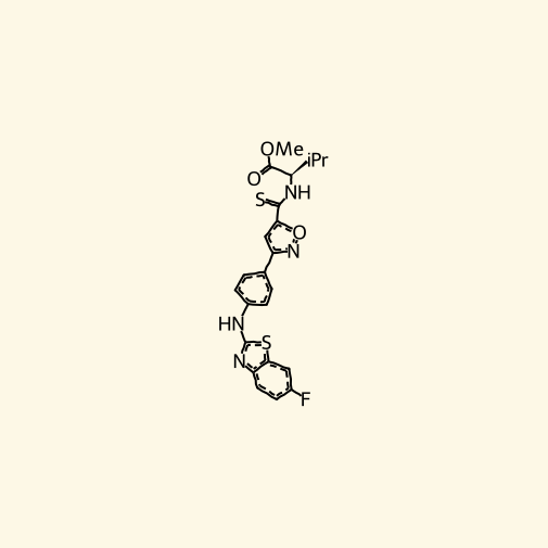 COC(=O)[C@H](NC(=S)c1cc(-c2ccc(Nc3nc4ccc(F)cc4s3)cc2)no1)C(C)C